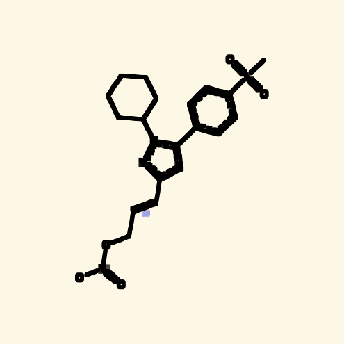 CS(=O)(=O)c1ccc(-c2cc(/C=C/CO[N+](=O)[O-])nn2C2CCCCC2)cc1